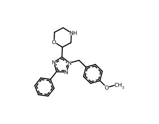 COc1ccc(Cn2nc(-c3ccccc3)nc2C2CNCCO2)cc1